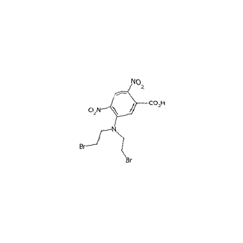 O=C(O)c1cc(N(CCBr)CCBr)c([N+](=O)[O-])cc1[N+](=O)[O-]